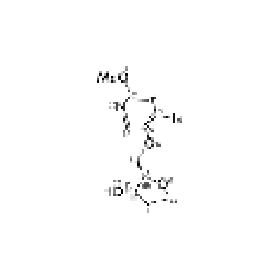 COc1cc(I)c(OC[C@H]2OCC[C@@H]2O)cn1